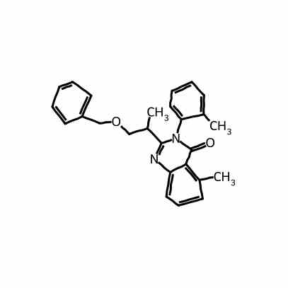 Cc1ccccc1-n1c(C(C)COCc2ccccc2)nc2cccc(C)c2c1=O